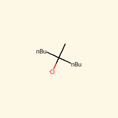 CCCCC(C)([O])CCCC